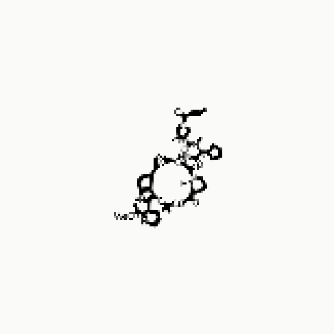 CC#CC(=O)N1C[C@H](C)[C@H](C(=O)N(C)[C@H](C(=O)N[C@H]2Cc3nc(cs3)-c3ccc4c(c3)c(c(-c3cccnc3[C@H](C)OC)n4C)CC(C)(C)COC(=O)[C@@H]3CCCN(N3)C2=O)C2CCCC2)C1